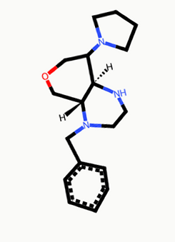 c1ccc(CN2CCN[C@@H]3C(N4CCCC4)COC[C@H]32)cc1